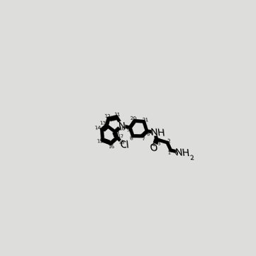 NCCC(=O)NC1CCC(n2ccc3cccc(Cl)c32)CC1